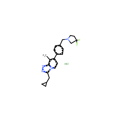 Cl.FC1(F)CCN(Cc2ccc(-c3ccn4c(CC5CC5)nnc4c3C(F)(F)F)cc2)C1